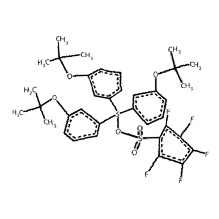 CC(C)(C)Oc1cccc(S(OS(=O)(=O)c2c(F)c(F)c(F)c(F)c2F)(c2cccc(OC(C)(C)C)c2)c2cccc(OC(C)(C)C)c2)c1